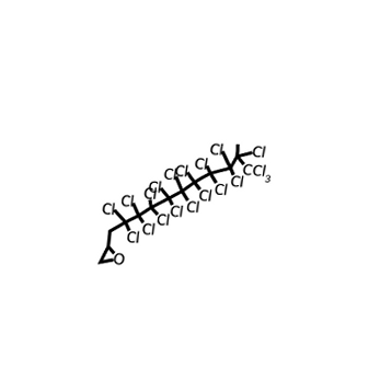 CC(Cl)(C(Cl)(Cl)Cl)C(Cl)(Cl)C(Cl)(Cl)C(Cl)(Cl)C(Cl)(Cl)C(Cl)(Cl)C(Cl)(Cl)C(Cl)(Cl)C(Cl)(Cl)CC1CO1